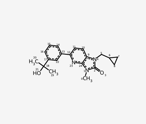 Cn1c(=O)n(CC2CC2)c2ccc(-c3cccc(C(C)(C)O)c3)nc21